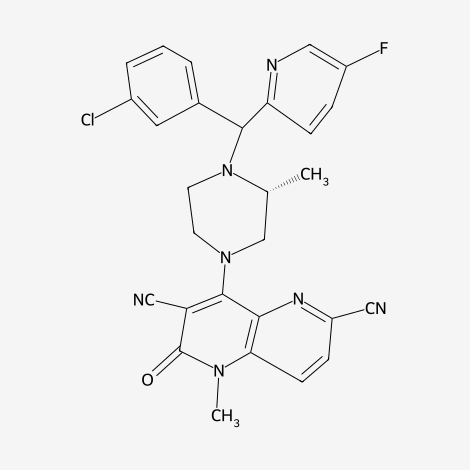 C[C@@H]1CN(c2c(C#N)c(=O)n(C)c3ccc(C#N)nc23)CCN1C(c1cccc(Cl)c1)c1ccc(F)cn1